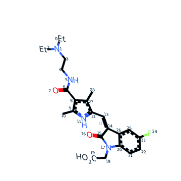 CCN(CC)CCNC(=O)c1c(C)[nH]c(/C=C2\C(=O)N(CC(=O)O)c3ccc(F)cc32)c1C